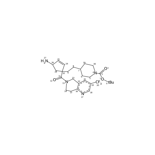 CC(C)(C)OC(=O)N1CCC(CCC2(C(=O)N3CCc4ncc(C(F)(F)F)cc4C3)C=CC(N)C2)CC1